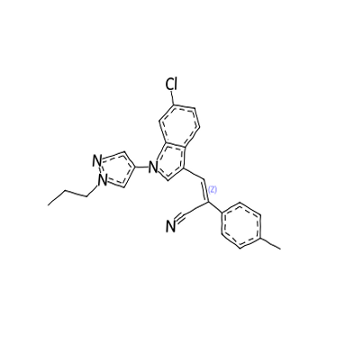 CCCn1cc(-n2cc(/C=C(\C#N)c3ccc(C)cc3)c3ccc(Cl)cc32)cn1